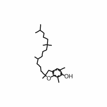 Cc1cc2c(c(C)c1O)OC(C)(CCCC(C)CCCC(C)(C)CCCC(C)C)C2